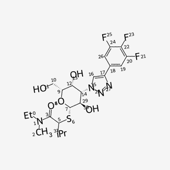 CCN(C)C(=O)C(S[C@@H]1O[C@H](CO)[C@H](O)[C@H](n2cc(-c3cc(F)c(F)c(F)c3)nn2)[C@H]1O)C(C)C